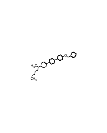 CCCCCC(C)C1CC=C(c2ccc(-c3ccc(OCc4ccccc4)cc3)cc2)CC1